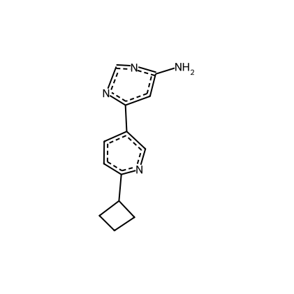 Nc1cc(-c2ccc(C3CCC3)nc2)ncn1